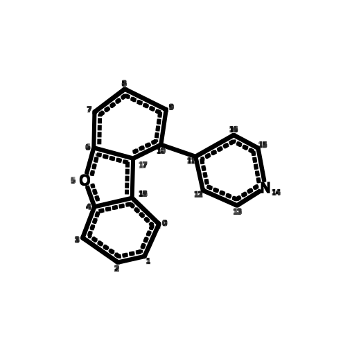 [c]1cccc2oc3cccc(-c4ccncc4)c3c12